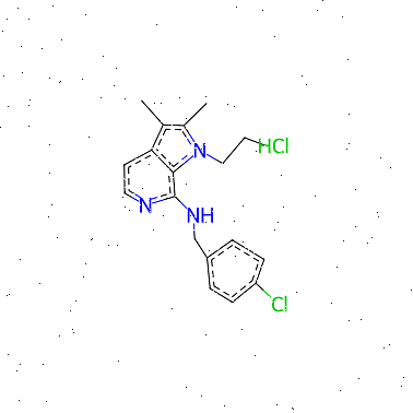 CCCn1c(C)c(C)c2ccnc(NCc3ccc(Cl)cc3)c21.Cl